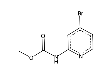 COC(=O)Nc1cc(Br)ccn1